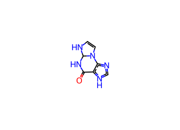 O=C1NC2NC=CN2c2nc[nH]c21